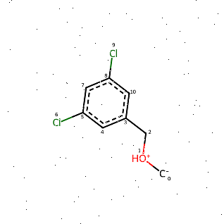 [CH2-][OH+]Cc1cc(Cl)cc(Cl)c1